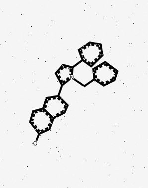 [O]c1ccc2cc(-c3ccc(-c4ccccc4)n3Cc3ccccc3)ccc2c1